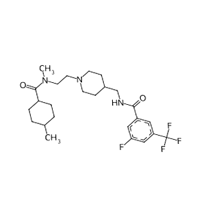 CC1CCC(C(=O)N(C)CCN2CCC(CNC(=O)c3cc(F)cc(C(F)(F)F)c3)CC2)CC1